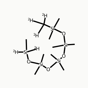 [2H]C([2H])([2H])[Si](C)(C)O[Si](C)(C)O[Si](C)(C)O[Si](C)(C)O[Si]([2H])([2H])C